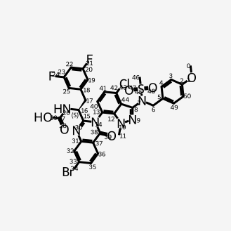 COc1ccc(CN(c2nn(C)c3c(-n4c([C@H](Cc5cc(F)cc(F)c5)NC(=O)O)nc5cc(Br)ccc5c4=O)ccc(Cl)c23)S(C)(=O)=O)cc1